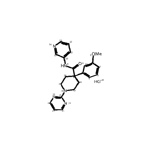 COc1cccc(C2(C(=O)Nc3cccnc3)CCN(c3ncccn3)CC2)c1.Cl